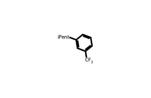 CCCC(C)c1cccc(C(F)(F)F)c1